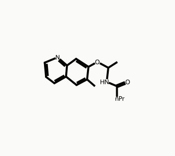 CCCC(=O)NC(C)Oc1cc2ncccc2cc1C